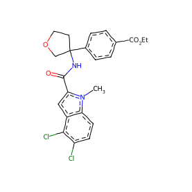 CCOC(=O)c1ccc(C2(NC(=O)c3cc4c(Cl)c(Cl)ccc4n3C)CCOC2)cc1